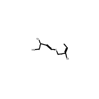 CC=C(CC)CSC=CC(CC)CS